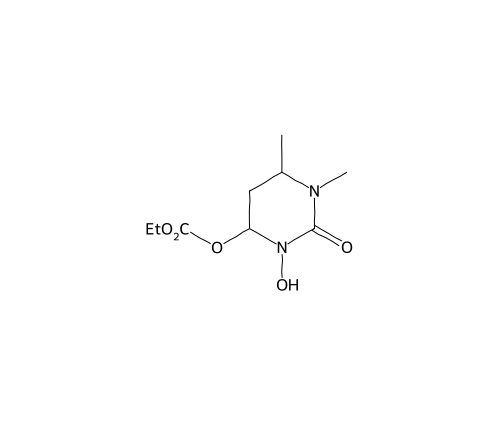 CCOC(=O)OC1CC(C)N(C)C(=O)N1O